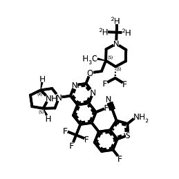 [2H]C([2H])([2H])N1CC[C@H](C(F)F)[C@](C)(COc2nc(N3C[C@H]4CC[C@@H](C3)N4)c3cc(C(F)(F)F)c(-c4ccc(F)c5sc(N)c(C#N)c45)c(F)c3n2)C1